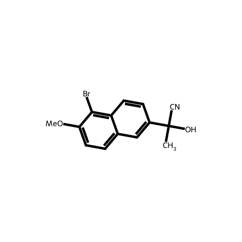 COc1ccc2cc(C(C)(O)C#N)ccc2c1Br